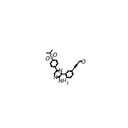 CC(C)S(=O)(=O)c1ccc(-c2cnc(N)c(-c3cccc(C#CC=O)c3)n2)cc1